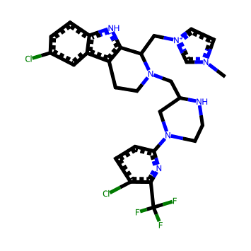 Cn1cc[n+](CC2c3[nH]c4ccc(Cl)cc4c3CCN2CC2CN(c3ccc(Cl)c(C(F)(F)F)n3)CCN2)c1